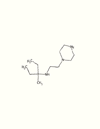 CCC(C)(CC)NCCN1CCNCC1